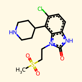 CS(=O)(=O)CCn1c(=O)[nH]c2ccc(Cl)c(C3CCNCC3)c21